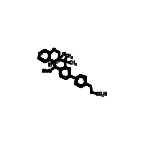 CON1c2ccc(-c3ccc(CCC(=O)O)cc3)cc2C(C)(C)[C@H]2COc3ccccc3[C@H]21